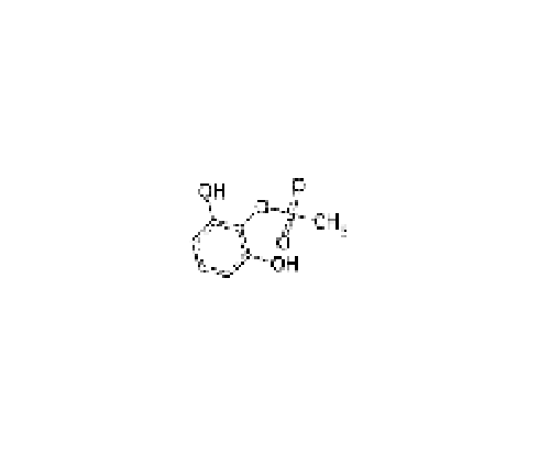 CS(=O)(=O)Oc1c(O)cccc1O